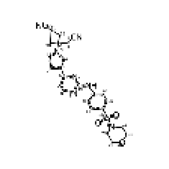 N#CCC1(n2cc(-c3ccnc(Nc4ccc(S(=O)(=O)N5CCOCC5)cc4)n3)cn2)CC(C#N)C1